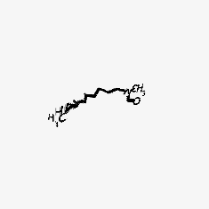 CNCCCCCCN(C)C=O